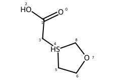 O=C(O)C[SH]1CCOC1